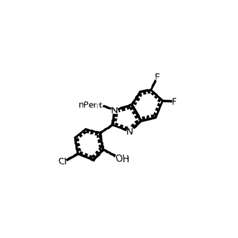 CCCCCn1c(-c2ccc(Cl)cc2O)nc2cc(F)c(F)cc21